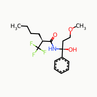 CCCC[C@@H](C(=O)N[C@](O)(CCOC)c1ccccc1)C(F)(F)F